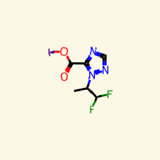 CC(C(F)F)n1ncnc1C(=O)OI